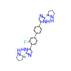 Fc1cc(-c2ccc(-c3cnc([C@@H]4CCCN4)[nH]3)cc2)ccc1-c1cnc([C@@H]2CCCN2)[nH]1